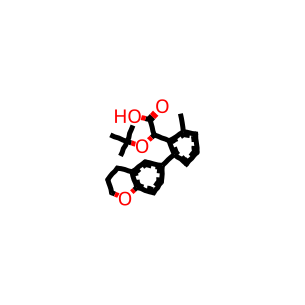 Cc1cccc(-c2ccc3c(c2)CCCO3)c1C(OC(C)(C)C)C(=O)O